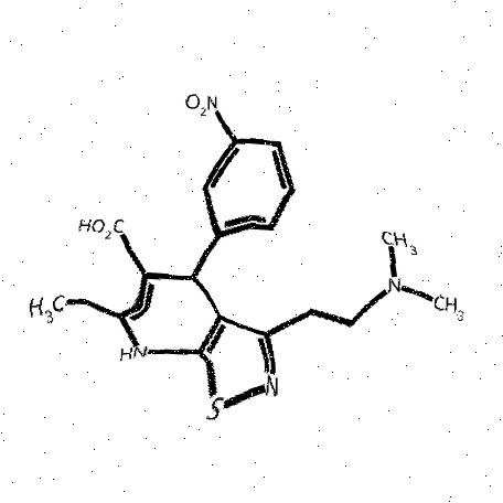 CC1=C(C(=O)O)C(c2cccc([N+](=O)[O-])c2)c2c(CCN(C)C)nsc2N1